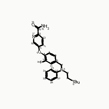 CC(C)(C)CCN(Cc1ccc(Oc2ccc(C(N)=O)nc2)c(F)c1)c1ccccc1